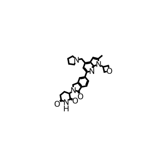 Cc1cc2c(CN3CCCC3)cc(-c3ccc4c(c3)CN(C3CCC(=O)NC3=O)C4=O)nc2n1C1COC1